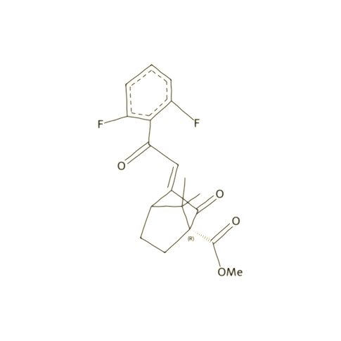 COC(=O)[C@@]12CCC(C(=CC(=O)c3c(F)cccc3F)C1=O)C2(C)C